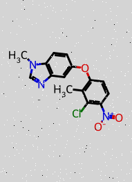 Cc1c(Oc2ccc3c(c2)ncn3C)ccc([N+](=O)[O-])c1Cl